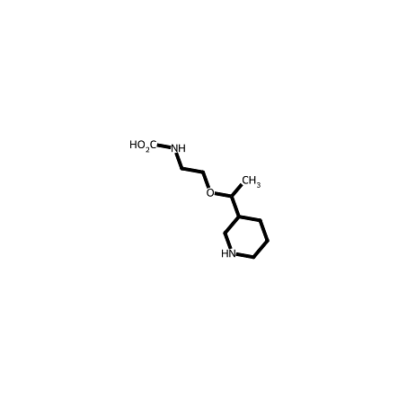 CC(OCCNC(=O)O)C1CCCNC1